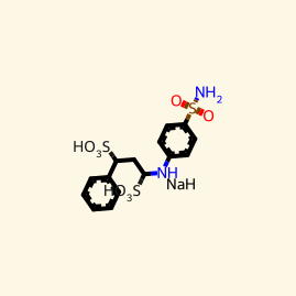 NS(=O)(=O)c1ccc(NC(CC(c2ccccc2)S(=O)(=O)O)S(=O)(=O)O)cc1.[NaH]